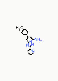 Cc1ccc(-c2cc(N)n3nc(-c4ccccn4)nc3c2)cc1